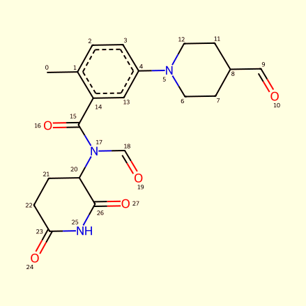 Cc1ccc(N2CCC(C=O)CC2)cc1C(=O)N(C=O)C1CCC(=O)NC1=O